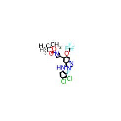 CC(C)(C)OC(=O)N1CC(c2cc3c(Nc4ccc(Cl)c(Cl)c4F)ncnc3cc2OCC(F)(F)F)C1